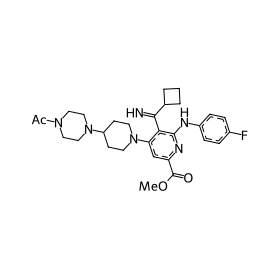 COC(=O)c1cc(N2CCC(N3CCN(C(C)=O)CC3)CC2)c(C(=N)C2CCC2)c(Nc2ccc(F)cc2)n1